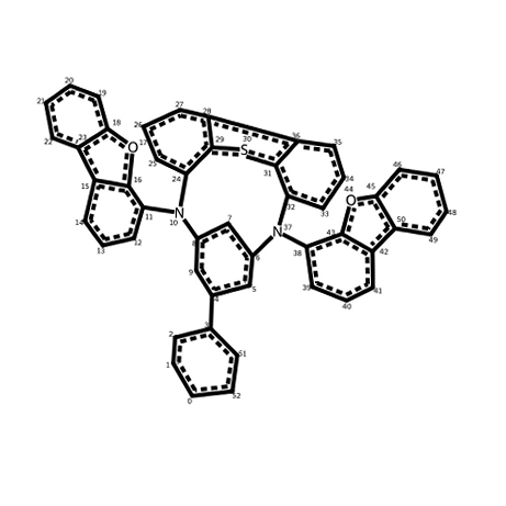 c1ccc(-c2cc3cc(c2)N(c2cccc4c2oc2ccccc24)c2cccc4c2sc2c(cccc24)N3c2cccc3c2oc2ccccc23)cc1